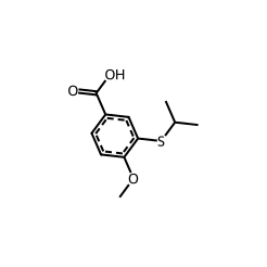 COc1ccc(C(=O)O)cc1SC(C)C